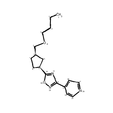 CCCCOC[C@@H]1CC[C@H](c2nc(-c3ccncc3)no2)C1